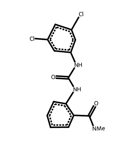 CNC(=O)c1ccccc1NC(=O)Nc1cc(Cl)cc(Cl)c1